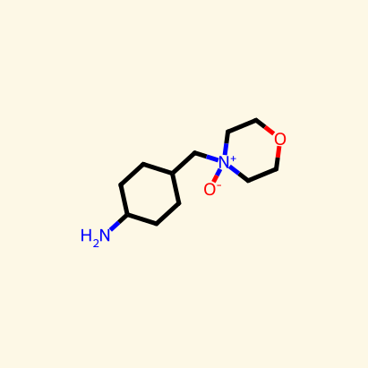 NC1CCC(C[N+]2([O-])CCOCC2)CC1